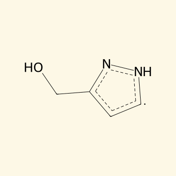 OCc1c[c][nH]n1